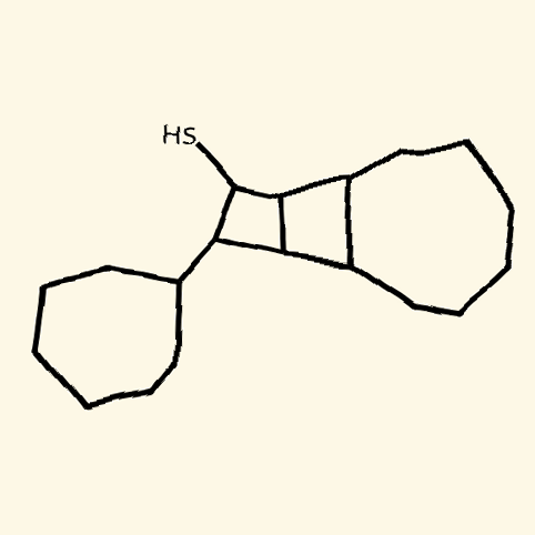 SC1C(C2CCCCCC2)C2C3CCCCCCC3C12